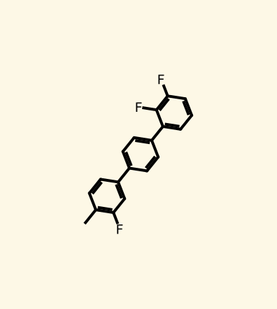 Cc1ccc(-c2ccc(-c3cccc(F)c3F)cc2)cc1F